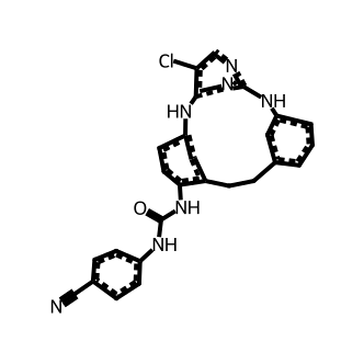 N#Cc1ccc(NC(=O)Nc2ccc3cc2CCc2cccc(c2)Nc2ncc(Cl)c(n2)N3)cc1